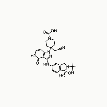 CC(C)(C)N1Cc2cc(Nc3nn(C4(CC#N)CCN(C(=O)O)CC4)c4cc[nH]c(=O)c34)ccc2S1(O)O